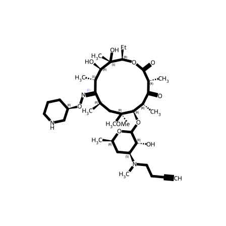 C#CCCN(C)[C@H]1C[C@@H](C)OC(O[C@@H]2[C@@H](C)C(=O)[C@@H](C)C(=O)O[C@H](CC)[C@@](C)(O)[C@H](O)[C@@H](C)/C(=N/O[C@@H]3CCCNC3)[C@H](C)C[C@@]2(C)OC)[C@@H]1O